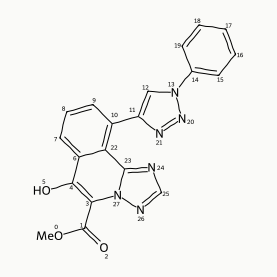 COC(=O)c1c(O)c2cccc(-c3cn(-c4ccccc4)nn3)c2c2ncnn12